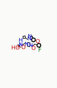 CC(C)(O)NC(=O)CN1CCN(C(=O)Cc2cc(F)ccc2Oc2ccc3c(cnn3CC3CCC3)c2)CC1